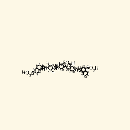 Cc1cc(-n2n3c4ccc5cc(S(=O)(=O)O)ccc5c4n23)c(C)cc1N=Nc1ccc(C=Cc2ccc(-n3n4c5cc(S(=O)(=O)O)c6ccccc6c5n34)cc2S(=O)(=O)O)c(S(=O)(=O)O)c1